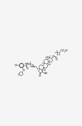 CC(C)C1=C2[C@H]3CC[C@@H]4[C@@]5(C)CC[C@H](OC(=O)[C@H]6C[C@@H](C(=O)O)C6(C)C)C(C)(C)[C@@H]5CC[C@@]4(C)[C@]3(C)CC[C@@]2(CCNCC(C)(C)NC(=O)c2ccc(Cl)cc2O[C@@H]2CCOC2)CC1=O